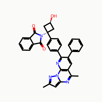 Cc1cc2nc(C)c3cc(-c4ccccc4)c(-c4ccc([C@]5(N6C(=O)c7ccccc7C6=O)C[C@H](O)C5)cc4)nc3n2n1